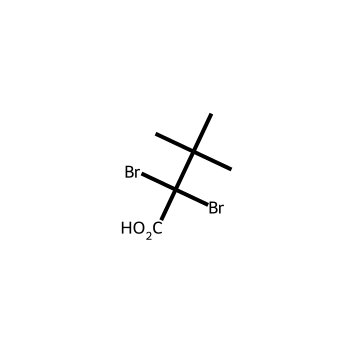 CC(C)(C)C(Br)(Br)C(=O)O